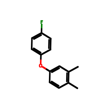 Cc1ccc(Oc2ccc(F)cc2)cc1C